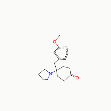 COc1cccc(CC2(N3CCCC3)CCC(=O)CC2)c1